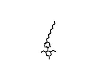 CCCCCCCCCc1cnc(N2C(CC)CN(C)CC2CC)nc1